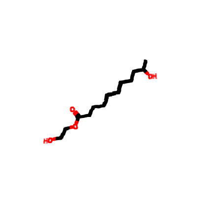 CC(O)CCCCCCCCC(=O)OCCO